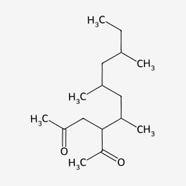 CCC(C)CC(C)CC(C)C(CC(C)=O)C(C)=O